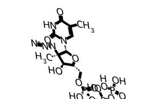 Cc1cn([C@@H]2O[C@H](COP(=O)(O)OP(=O)(O)OP(=O)(O)O)[C@@H](O)[C@@]2(C)N=[N+]=[N-])c(=O)[nH]c1=O